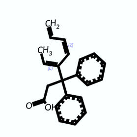 C=C/C=C\C(=C/C)C(CC(=O)O)(c1ccccc1)c1ccccc1